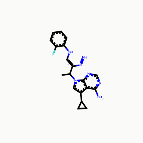 CC(/C(=C/Nc1ccccc1F)N=N)n1cc(C2CC2)c2c(N)ncnc21